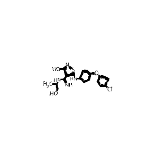 CC(CO)NC(=N)c1c(O)nsc1Nc1ccc(Oc2ccc(Cl)cc2)cc1